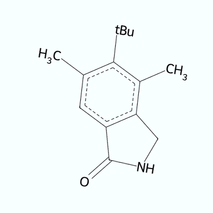 Cc1cc2c(c(C)c1C(C)(C)C)CNC2=O